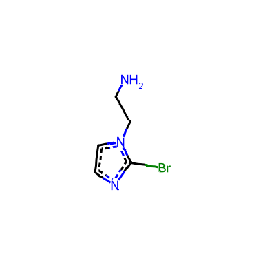 NCCn1ccnc1Br